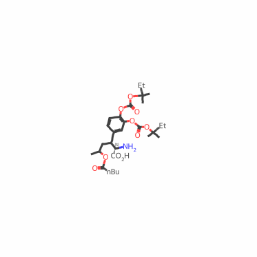 CCCCC(=O)OC(C)CC(c1ccc(OC(=O)OC(C)(C)CC)c(OC(=O)OC(C)(C)CC)c1)[C@H](N)C(=O)O